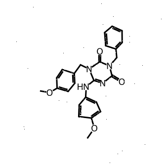 COc1ccc(Cn2c(Nc3ccc(OC)cc3)nc(=O)n(Cc3ccccc3)c2=O)cc1